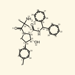 Cc1ccc([C@H]2CN(C(=O)C(C)(C)N)[C@H](C(=O)NC(c3ccccc3)c3ccccc3)[C@@H]2O)cc1